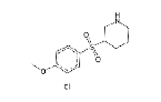 COc1ccc(S(=O)(=O)C2CCCNC2)cc1Cl